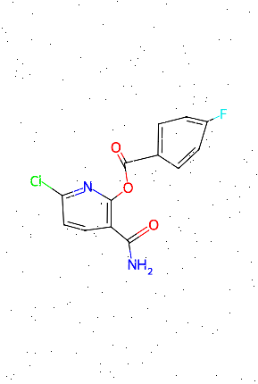 NC(=O)c1ccc(Cl)nc1OC(=O)c1ccc(F)cc1